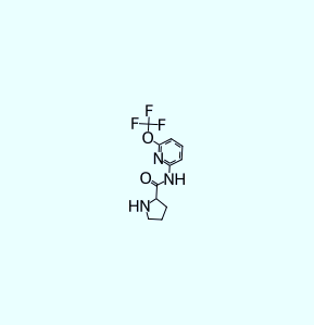 O=C(Nc1cccc(OC(F)(F)F)n1)C1CCCN1